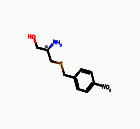 N[C@H](CO)CSCc1ccc([N+](=O)[O-])cc1